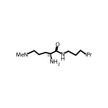 CNCCC[C@H](N)C(=O)NCCCC(C)C